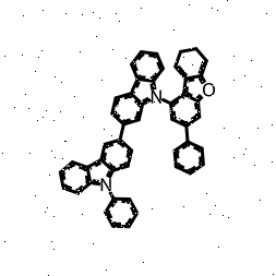 C1=c2oc3cc(-c4ccccc4)cc(-n4c5ccccc5c5ccc(-c6ccc7c(c6)c6ccccc6n7-c6ccccc6)cc54)c3c2=CCC1